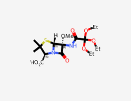 CCOC(OCC)(OCC)C(=O)N[C@@]1(OC)C(=O)N2[C@@H](C(=O)O)C(C)(C)S[C@@H]21